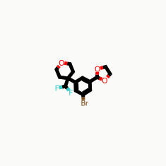 FC(F)C1(c2cc(Br)cc(C3OCCO3)c2)CCOCC1